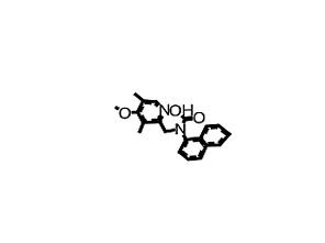 COc1c(C)cnc(CN(C(=O)O)c2cccc3ccccc23)c1C